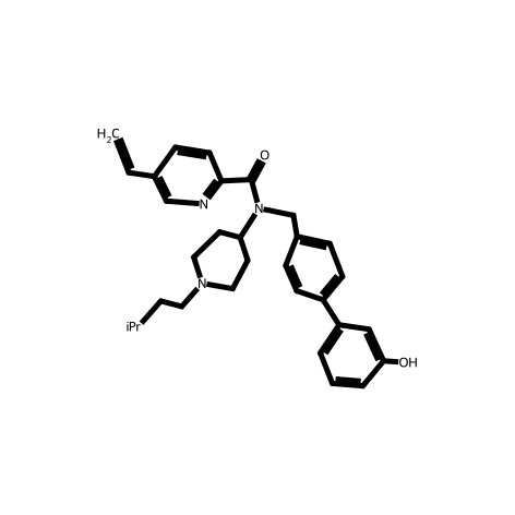 C=Cc1ccc(C(=O)N(Cc2ccc(-c3cccc(O)c3)cc2)C2CCN(CCC(C)C)CC2)nc1